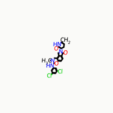 C=C1CCC(N2Cc3c(CN(C)C(=O)Nc4cc(Cl)cc(Cl)c4)cccc3C2=O)C(=O)N1